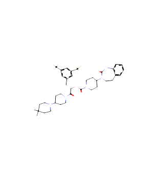 CC1(C)CCN(C2CCN(C(=O)[C@@H](Cc3cc(C(F)(F)F)cc(C(F)(F)F)c3)OC(=O)N3CCC(N4CCc5ccccc5NC4=O)CC3)CC2)CC1